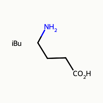 CC[C@H](C)C(N)CCC(=O)O